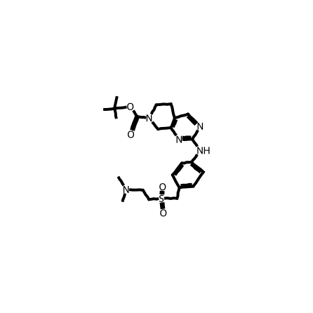 CN(C)CCS(=O)(=O)Cc1ccc(Nc2ncc3c(n2)CN(C(=O)OC(C)(C)C)CC3)cc1